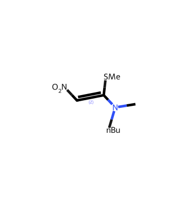 CCCCN(C)/C(=C/[N+](=O)[O-])SC